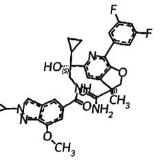 COc1cc(C(=O)NC[C@](O)(c2cc3c(c(-c4cc(F)cc(F)c4)n2)OC[C@]3(C)C(N)=O)C2CC2)cc2cn(C3CC3)nc12